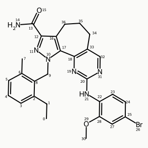 CCc1cccc(C)c1Cn1nc(C(N)=O)c2c1-c1nc(Nc3ccc(Br)cc3OC)ncc1CCC2